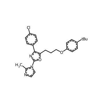 Cc1nccn1-c1nc(-c2ccc(Cl)cc2)c(CCCOc2ccc(C(C)(C)C)cc2)o1